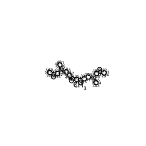 Cc1c2oc3cc4cc(N(c5ccccc5)c5ccc6oc7ccccc7c6c5)ccc4cc3c2cc2c1oc1cc3cc(N(c4ccccc4)c4ccc5oc6ccccc6c5c4)ccc3cc12